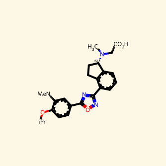 CNc1cc(-c2nc(-c3cccc4c3CC[C@@H]4N(C)CC(=O)O)no2)ccc1OC(C)C